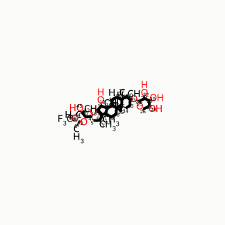 C[C@H](O[C@@H]([C@H]1C[C@@H](C)C2=C(O1)[C@H](O)[C@@]1(C)[C@@H]3CC[C@H]4C(C)(C)[C@@H](O[C@@H]5OC[C@@H](O)[C@H](O)[C@H]5O)CC[C@@]45C[C@@]35CC[C@]21C)C(C)(C)O)OC(F)(F)F